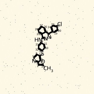 Cc1cc2nccc(Sc3ccc(Nc4nnc(-c5ccc(Cl)cc5)c5ccccc45)cc3)c2o1